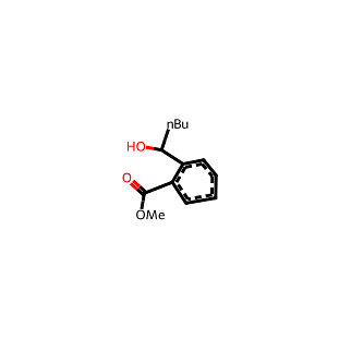 CCCCC(O)c1ccccc1C(=O)OC